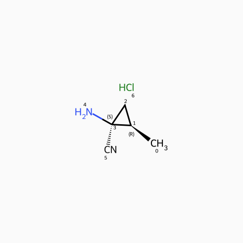 C[C@@H]1C[C@@]1(N)C#N.Cl